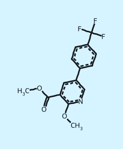 COC(=O)c1cc(-c2ccc(C(F)(F)F)cc2)cnc1OC